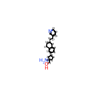 N[C@]1(CO)CC[C@H](c2ccc3c(c2)CC[C@@H](CCc2cccnc2)C3)C1